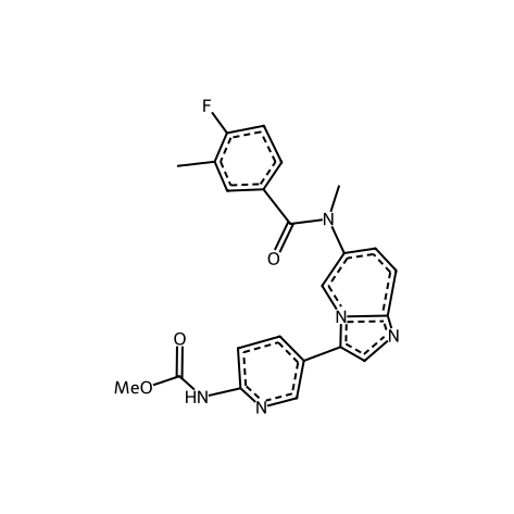 COC(=O)Nc1ccc(-c2cnc3ccc(N(C)C(=O)c4ccc(F)c(C)c4)cn23)cn1